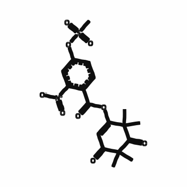 CC1(C)C(=O)C=C(OC(=O)c2ccc(OS(C)(=O)=O)cc2[N+](=O)[O-])C(C)(C)C1=O